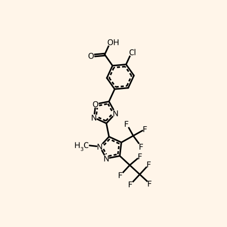 Cn1nc(C(F)(F)C(F)(F)F)c(C(F)(F)F)c1-c1noc(-c2ccc(Cl)c(C(=O)O)c2)n1